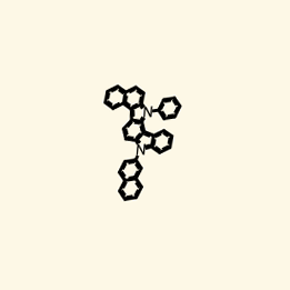 c1ccc(-n2c3ccc4ccccc4c3c3ccc4c(c5ccccc5n4-c4ccc5ccccc5c4)c32)cc1